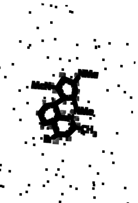 CNc1cc(NC)c(-c2cccc3c(Br)cc(C)nc23)c(NC)c1